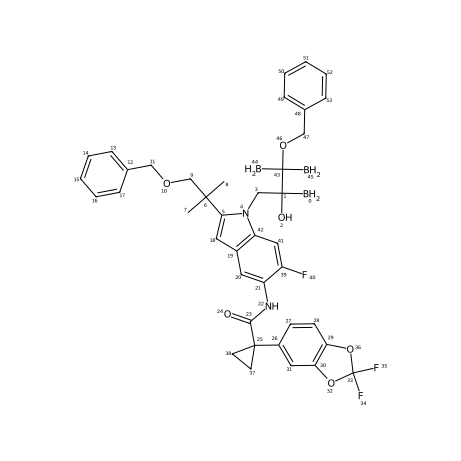 BC(O)(Cn1c(C(C)(C)COCc2ccccc2)cc2cc(NC(=O)C3(c4ccc5c(c4)OC(F)(F)O5)CC3)c(F)cc21)C(B)(B)OCc1ccccc1